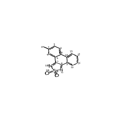 Cc1ccc2c(c1)c1c(c3ccccc32)=NS(=O)(=O)N=1